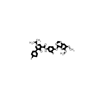 COc1cc2ncnc(Oc3ccc(NC(=O)c4cn(C(C)C)cc(-c5ccc(F)cc5)c4=O)cc3F)c2nc1OC